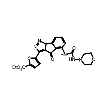 CCOC(=O)c1ccc(C2=C3C(=O)c4c(NC(=O)NN5CCOCC5)cccc4C3N=N2)s1